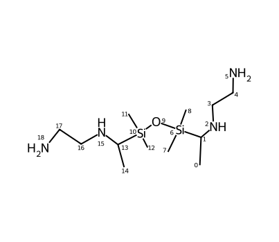 CC(NCCN)[Si](C)(C)O[Si](C)(C)C(C)NCCN